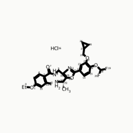 CCOc1ccc(C(=O)NCc2nc(-c3ccc(OC(F)F)c(OCC4CC4)c3)oc2[C@H](C)N)c(F)c1.Cl